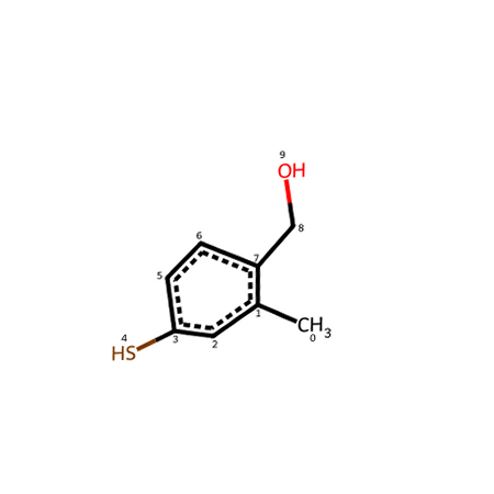 Cc1cc(S)ccc1CO